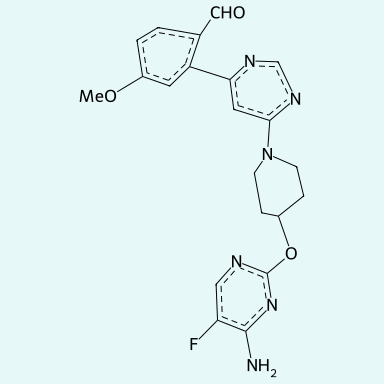 COc1ccc(C=O)c(-c2cc(N3CCC(Oc4ncc(F)c(N)n4)CC3)ncn2)c1